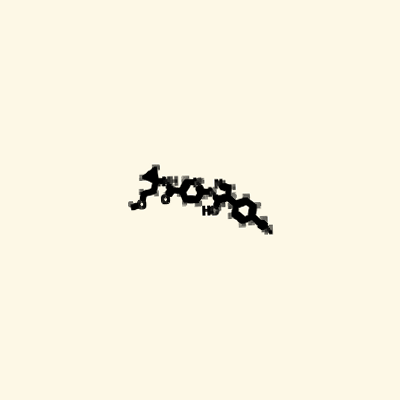 COCCC1(NC(=O)c2ccc(-n3ncc(-c4ccc(C#N)cc4)c3O)nc2)CC1